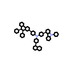 c1ccc(-c2c(-c3ccccc3)c3cc(-c4ccc(N(c5ccc(-c6cccc7ccccc67)cc5)c5ccc(-c6cccc7c6c6ccccc6n7-c6ccccc6)cc5)cc4)ccc3c3ccccc23)cc1